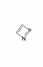 C1=CP=N1